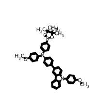 COc1ccc(N(c2ccc(B3OC(C)(C)C(C)(C)O3)cc2)c2ccc(-c3ccc4c(c3)c3ccccc3n4-c3ccc(OC)cc3)cc2)cc1